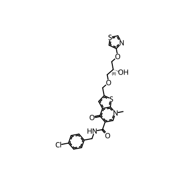 Cn1cc(C(=O)NCc2ccc(Cl)cc2)c(=O)c2cc(COC[C@@H](O)COc3cscn3)sc21